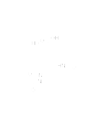 CCC1(C(=O)O)CCC(CNC(=O)C(c2ccc(CN3N=C(c4ccccc4)OCC3=O)cc2)C2CCCC2)CC1